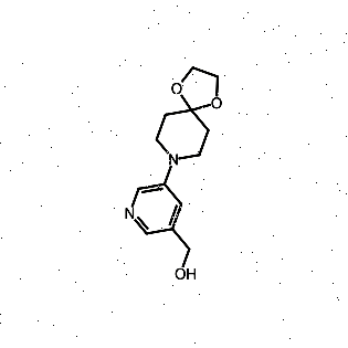 OCc1cncc(N2CCC3(CC2)OCCO3)c1